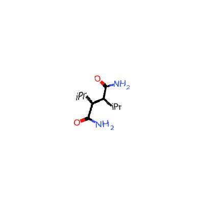 CC(C)C(C(N)=O)C(C(N)=O)C(C)C